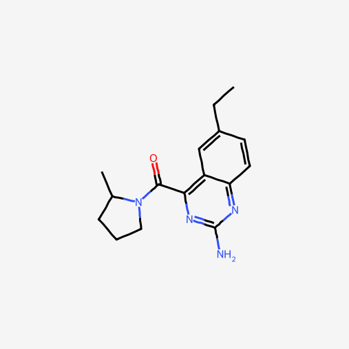 CCc1ccc2nc(N)nc(C(=O)N3CCCC3C)c2c1